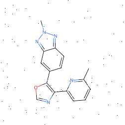 Cc1cccc(-c2ncoc2-c2ccc3nn(C)nc3c2)n1